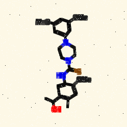 COc1cc(OC)cc(N2CCN(C(=S)Nc3cc(C(C)O)c(C)cc3OC)CC2)c1